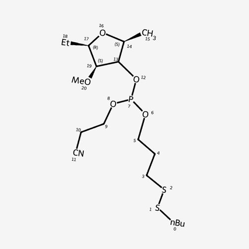 CCCCSSCCCOP(OCCC#N)OC1[C@H](C)O[C@H](CC)[C@@H]1OC